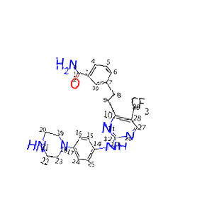 NC(=O)c1cccc(CCc2nc(Nc3ccc(N4CCNCC4)cc3)ncc2C(F)(F)F)c1